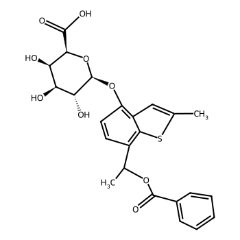 Cc1cc2c(O[C@@H]3O[C@H](C(=O)O)[C@H](O)[C@H](O)[C@H]3O)ccc(C(C)OC(=O)c3ccccc3)c2s1